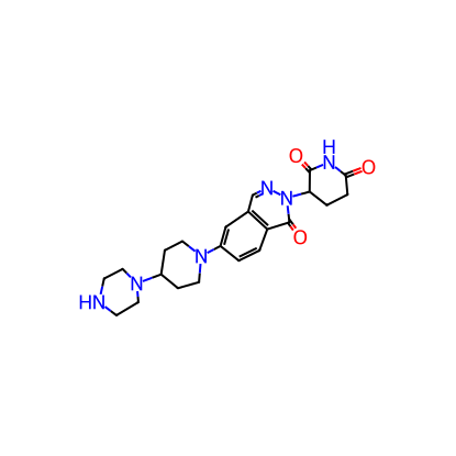 O=C1CCC(n2ncc3cc(N4CCC(N5CCNCC5)CC4)ccc3c2=O)C(=O)N1